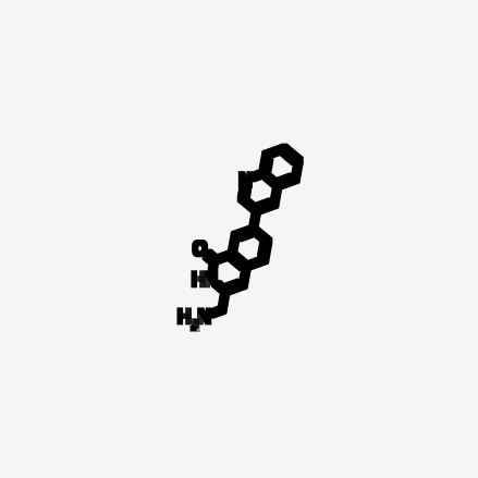 NCc1cc2ccc(-c3cnc4ccccc4c3)cc2c(=O)[nH]1